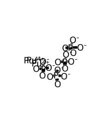 O=P([O-])([O-])[O-].O=P([O-])([O-])[O-].O=P([O-])([O-])[O-].O=P([O-])([O-])[O-].[Pu+4].[Pu+4].[Pu+4]